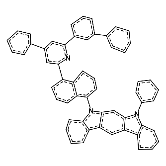 c1ccc(-c2cccc(-c3cc(-c4ccccc4)cc(-c4cccc5c(-n6c7ccccc7c7cc8c9ccccc9n(-c9ccccc9)c8cc76)cccc45)n3)c2)cc1